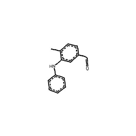 Cc1ccc(C=O)cc1Nc1ccccc1